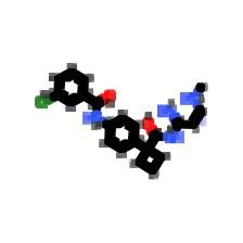 CN/C=C\C(=N)NC(=O)C1(c2ccc(NC(=O)c3cccc(Cl)c3)cc2)CCC1